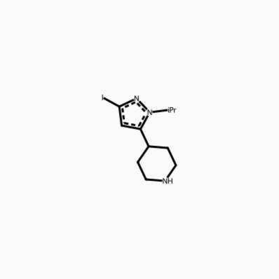 CC(C)n1nc(I)cc1C1CCNCC1